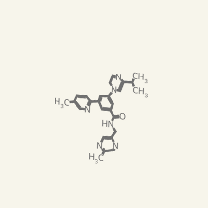 Cc1ccc(-c2cc(C(=O)NCc3cnc(C)cn3)cc(N3C=C(C(C)C)N=CC3)c2)nc1